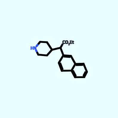 CCOC(=O)C(c1ccc2ccccc2c1)C1CCNCC1